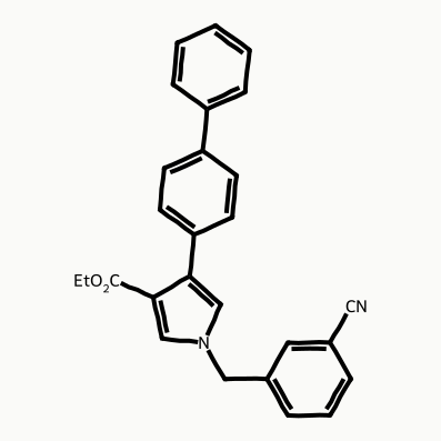 CCOC(=O)c1cn(Cc2cccc(C#N)c2)cc1-c1ccc(-c2ccccc2)cc1